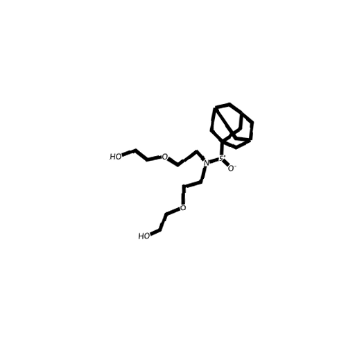 [O-][S+](N(CCOCCO)CCOCCO)C12CC3CC(CC(C3)C1)C2